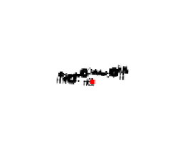 CC(C)NC(=N)c1ccc(OCCCCCCOc2ccc(-c3cc4cc(C(=N)NC(C)C)ccc4o3)cc2)cc1.Cl.Cl